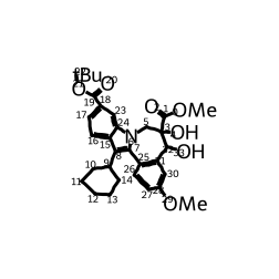 COC(=O)C1(O)Cn2c(c(C3CCCCC3)c3ccc(C(=O)OC(C)(C)C)cc32)-c2ccc(OC)cc2C1O